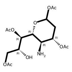 CC(=O)OC[C@@H](O)[C@@H](OC(C)=O)[C@@H]1OC(OC(C)=O)C[C@H](OC(C)=O)[C@H]1N